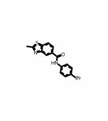 Cc1nc2cc(C(=O)Nc3ccc(C(C)C)cc3)ccc2s1